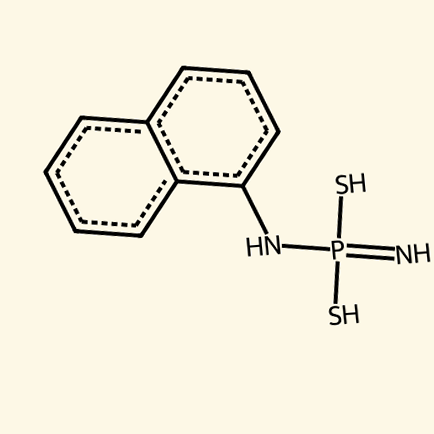 N=P(S)(S)Nc1cccc2ccccc12